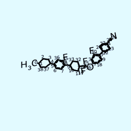 CC1CCC(c2ccc(C3CCC(C(F)(F)Oc4ccc(-c5ccc(C#N)cc5)c(F)c4)CC3)c(F)c2)CC1